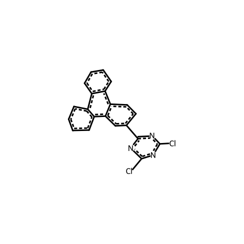 Clc1nc(Cl)nc(-c2ccc3c4ccccc4c4ccccc4c3c2)n1